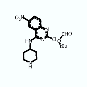 CC(C)(C)OC=O.O=[N+]([O-])c1ccc2nc(Cl)nc(NC3CCNCC3)c2c1